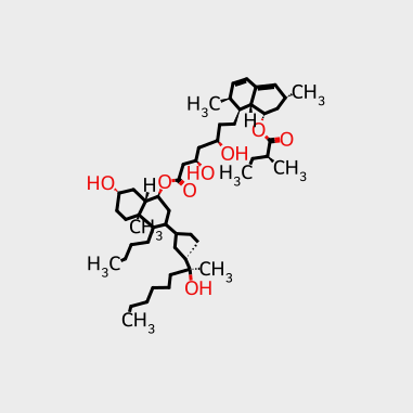 CCCCCC[C@](C)(O)[C@H]1CCC(C2C[C@H](OC(=O)C[C@H](O)C[C@H](O)CC[C@@H]3[C@@H]4C(=C[C@H](C)C[C@@H]4OC(=O)[C@@H](C)CC)C=C[C@@H]3C)[C@H]3C[C@@H](O)CC[C@]3(C)C2CCCC)C1